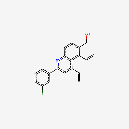 C=Cc1cc(-c2cccc(F)c2)nc2ccc(CO)c(C=C)c12